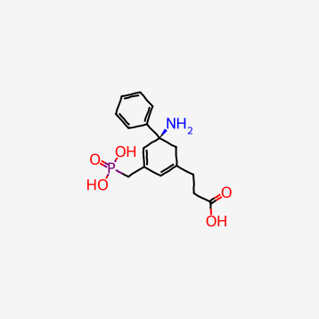 N[C@]1(c2ccccc2)C=C(CP(=O)(O)O)C=C(CCC(=O)O)C1